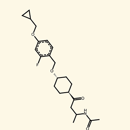 CC(=O)NC(C)CC(=O)[C@H]1CC[C@H](OCc2ccc(OCC3CC3)cc2F)CC1